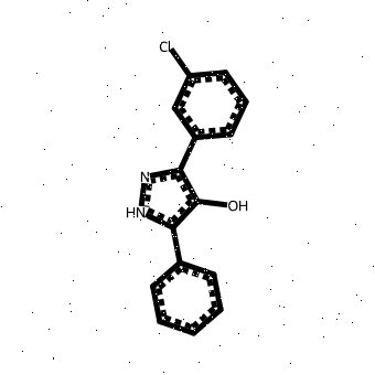 Oc1c(-c2cccc(Cl)c2)n[nH]c1-c1ccccc1